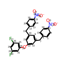 O=[N+]([O-])c1ccc(Cc2cc(Cc3ccc([N+](=O)[O-])cc3)cc(Oc3cc(F)cc(F)c3)c2)cc1